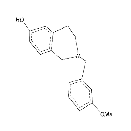 COc1cccc(CN2CCc3cc(O)ccc3C2)c1